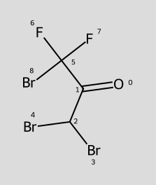 O=C(C(Br)Br)C(F)(F)Br